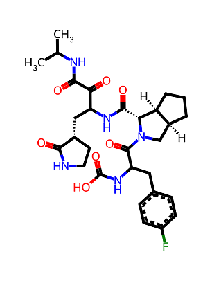 CC(C)NC(=O)C(=O)C(C[C@@H]1CCNC1=O)NC(=O)[C@@H]1[C@H]2CCC[C@H]2CN1C(=O)C(Cc1ccc(F)cc1)NC(=O)O